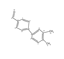 Cc1ccc(-c2ccc(C=O)cc2)cc1C